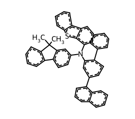 CC1(C)c2ccccc2-c2ccc(N(c3cc(-c4cccc5ccccc45)ccc3-c3ccccc3)c3cccc4c3sc3ccccc34)cc21